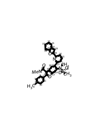 CNC(=O)c1c(-c2ccc(C)cc2)oc2cc(N(C)S(C)(=O)=O)c(-c3cccc(-c4cc5ccccc5o4)n3)cc12